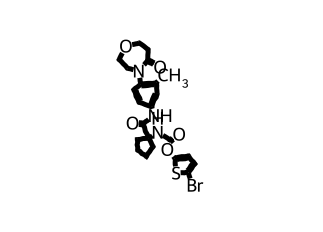 Cc1cc(NC(=O)C2(NC(=O)Oc3ccc(Br)s3)CCCC2)ccc1N1CCOCCC1=O